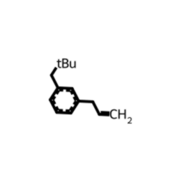 C=CCc1cccc(CC(C)(C)C)c1